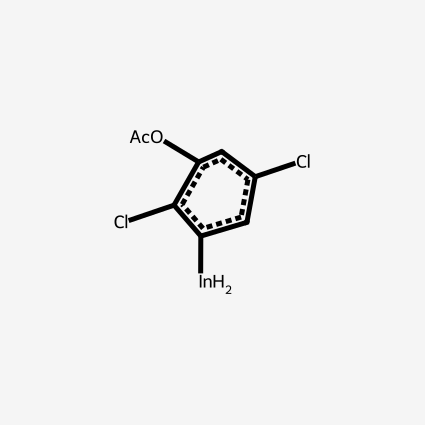 CC(=O)Oc1cc(Cl)c[c]([InH2])c1Cl